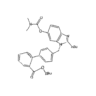 CCCCc1nc2ccc(OC(=O)N(C)C)cc2n1Cc1ccc(-c2ccccc2C(=O)OC(C)(C)C)cc1